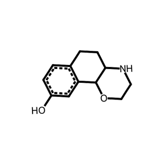 Oc1ccc2c(c1)C1OCCNC1CC2